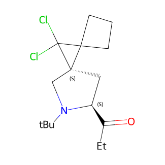 CCC(=O)[C@@H]1C[C@]2(CN1C(C)(C)C)C(Cl)(Cl)C21CCC1